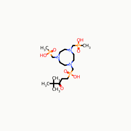 CC(C)(C)C(=O)CCP(=O)(O)CN1CCN(CP(C)(=O)O)CCN(CP(C)(=O)O)CC1